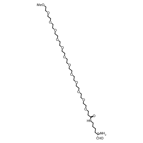 COCCOCCOCCOCCOCCOCCOCCOCCOCCOCCOCCOCCOCCC(=O)NCCCC[C@H](N)C=O